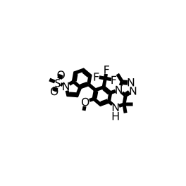 COc1cc2c(c(C(F)(F)F)c1-c1cccc3c1ccn3S(C)(=O)=O)-n1c(C)nnc1C(C)(C)N2